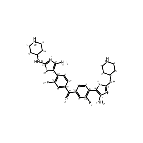 Nc1nc(NC2CCNCC2)sc1-c1ccc(C(=O)c2ccc(-c3sc(NC4CCNCC4)nc3N)c(F)c2)cc1F